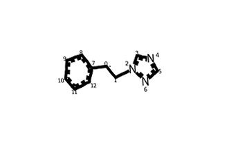 [CH](Cn1cncn1)c1ccccc1